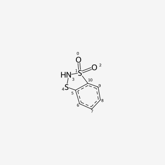 O=S1(=O)NSc2ccccc21